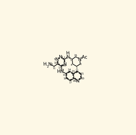 CC(=O)N1CCC[C@@H](Nc2nnc(CN)c(Nc3ccc4ncccc4c3)n2)C1